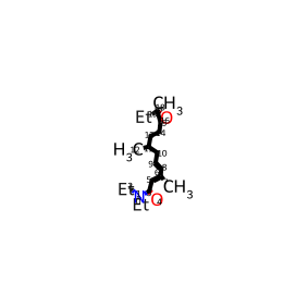 CCN(CC)C(=O)C=C(C)C=CCC(C)CCC1OC1(C)CC